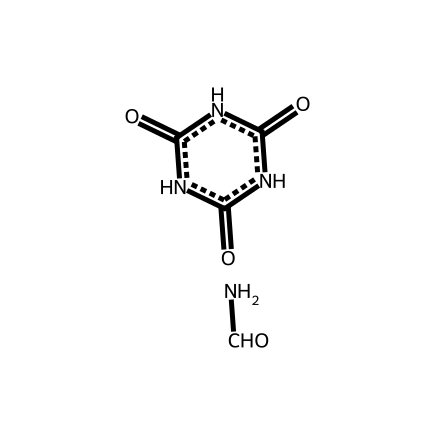 NC=O.O=c1[nH]c(=O)[nH]c(=O)[nH]1